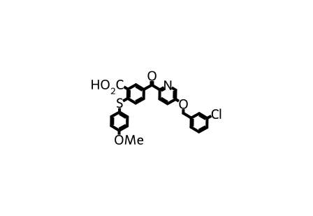 COc1ccc(Sc2ccc(C(=O)c3ccc(OCc4cccc(Cl)c4)cn3)cc2C(=O)O)cc1